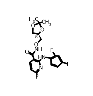 CC1(C)OC[C@H](CONC(=O)c2ccc(F)nc2Nc2ccc(I)cc2F)O1